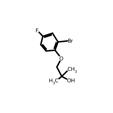 CC(C)(O)COc1ccc(F)cc1Br